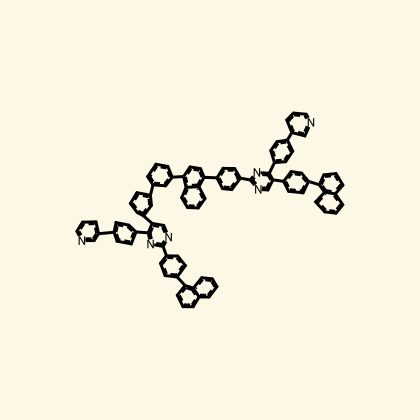 c1cncc(-c2ccc(-c3nc(-c4ccc(-c5ccc(-c6cccc(-c7cccc(-c8cnc(-c9ccc(-c%10cccc%11ccccc%10%11)cc9)nc8-c8ccc(-c9cccnc9)cc8)c7)c6)c6ccccc56)cc4)ncc3-c3ccc(-c4cccc5ccccc45)cc3)cc2)c1